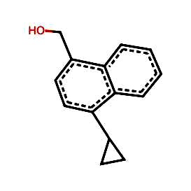 OCc1ccc(C2CC2)c2ccccc12